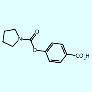 O=C(O)c1ccc(OC(=O)N2CCCC2)cc1